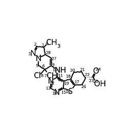 CC1C=NN2CC(C)(Cl)C(Nc3ncnc4sc5c(c34)CC[C@H](C(=O)O)C5)=CC12